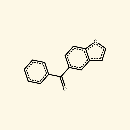 O=C(c1ccccc1)c1ccc2occc2c1